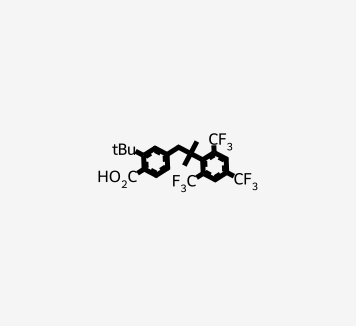 CC(C)(C)c1cc(CC(C)(C)c2c(C(F)(F)F)cc(C(F)(F)F)cc2C(F)(F)F)ccc1C(=O)O